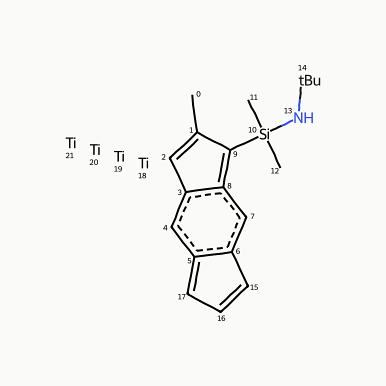 CC1=Cc2cc3c(cc2=C1[Si](C)(C)NC(C)(C)C)C=CC=3.[Ti].[Ti].[Ti].[Ti]